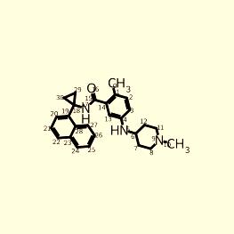 Cc1ccc(NC2CCN(C)CC2)cc1C(=O)NC1(c2cccc3ccccc23)CC1